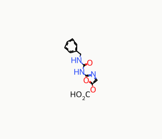 O=C(NCc1ccccc1)Nc1ncc(OC(=O)O)o1